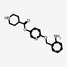 Nc1ccccc1COc1ccc(OC(=O)C2CCNCC2)cn1